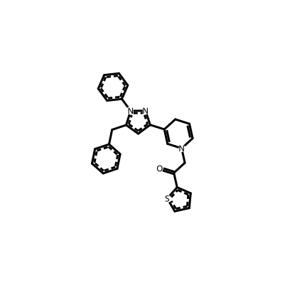 O=C(CN1C=CCC(c2cc(Cc3ccccc3)n(-c3ccccc3)n2)=C1)c1cccs1